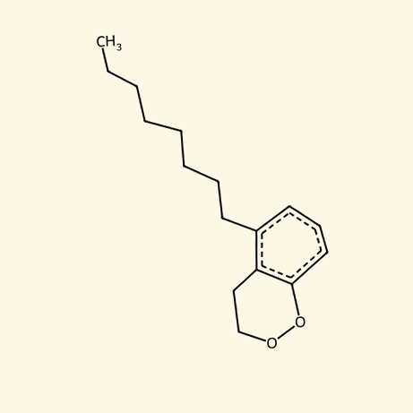 CCCCCCCCc1cccc2c1CCOO2